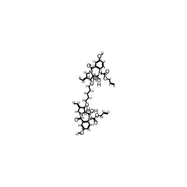 C=CCOC(=O)N1c2ccc(OC)cc2C(=O)N2CC(=CC)C(OCCCCCOC3C(=CC)CN4C(=O)c5cc(OC)ccc5N(C(=O)OCC=C)[C@@H](O)[C@H]34)[C@H]2[C@@H]1O